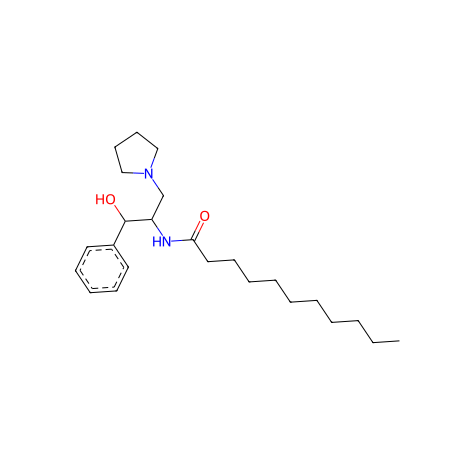 CCCCCCCCCCC(=O)NC(CN1CCCC1)C(O)c1ccccc1